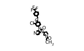 C=CC(=O)N1CCC(n2c(=O)n(-c3ccc(OCc4ccc(C(F)(F)F)cc4)c(Cl)c3)c3cnccc32)C1